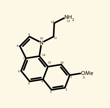 COc1ccc2ccc3ccn(CCN)c3c2c1